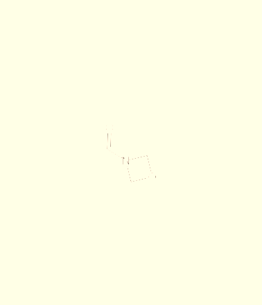 O=CN1COC1